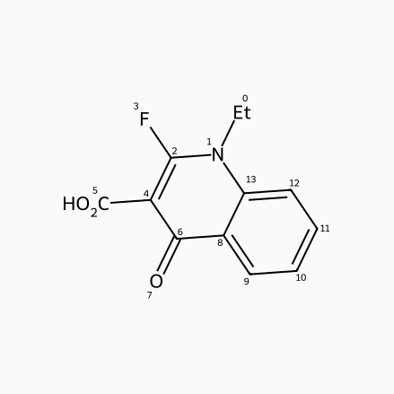 CCn1c(F)c(C(=O)O)c(=O)c2ccccc21